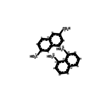 O=C(O)c1ccc2cc(C(=O)O)ccc2c1.O=C(O)c1cccc2cccc(C(=O)O)c12